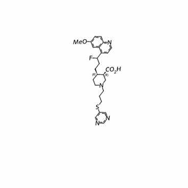 COc1ccc2nccc(C(F)CC[C@@H]3CCN(CCCSc4cncnc4)C[C@@H]3C(=O)O)c2c1